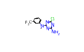 CN(c1cccc(C(F)(F)F)c1)c1nc(N)nc(Cl)n1